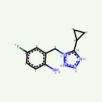 Nc1ccc(F)cc1Cn1nnnc1C1CC1